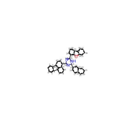 c1ccc2c(c1)-c1cccc3c(C4=NC(c5ccc6ccccc6c5)NC(c5cccc6c5oc5ccccc56)=N4)ccc-2c13